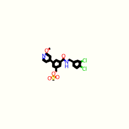 COc1cc(-c2cc(COS(C)(=O)=O)cc(C(=O)NCc3ccc(Cl)c(Cl)c3)c2)ccn1